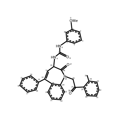 COc1cccc(NC(=O)NC2C=C(c3ccccc3)c3ccccc3N(CC(=O)c3ccccc3C)C2=O)c1